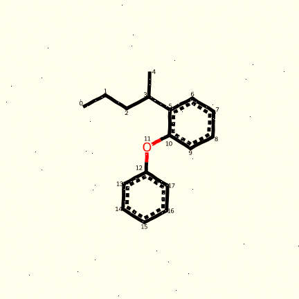 CCCC(C)c1ccccc1Oc1[c]cccc1